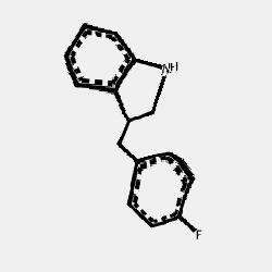 Fc1ccc(CC2CNc3ccccc32)cc1